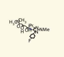 CNc1nc(-c2ccc(F)cc2)c(/C=C/[C@@H](O)C[C@@H](O)CC(=O)N(C)C)c(C(C)C)n1